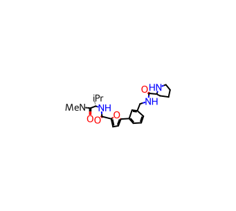 CNC(=O)[C@@H](NC(=O)c1ccc(-c2cccc(CNC(=O)C3CCCCN3)c2)o1)C(C)C